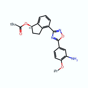 CC(C)Oc1ccc(-c2nc(-c3cccc4c3CC[C@H]4OC(=O)C(C)(C)C)no2)cc1N